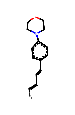 O=C/C=C/C=C/c1ccc(N2CCOCC2)cc1